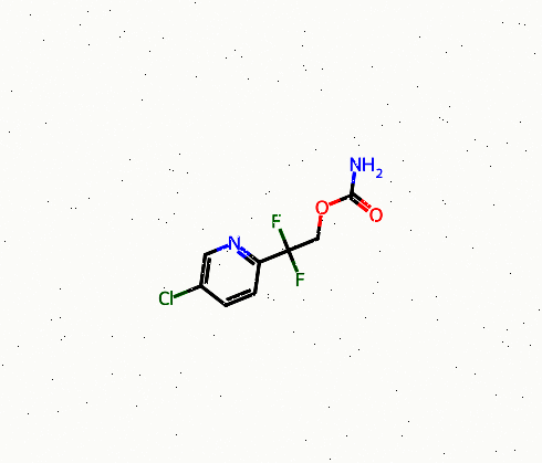 NC(=O)OCC(F)(F)c1ccc(Cl)cn1